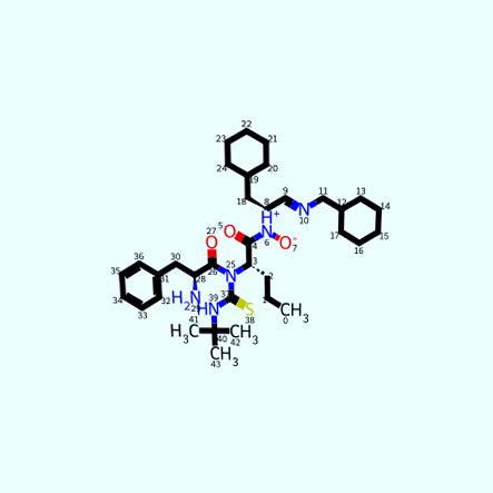 CCC[C@@H](C(=O)[NH+]([O-])[C@H](C=NCC1CCCCC1)CC1CCCCC1)N(C(=O)[C@@H](N)Cc1ccccc1)C(=S)NC(C)(C)C